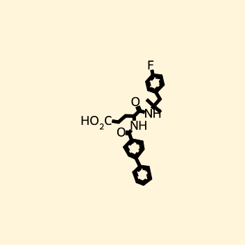 CC(C)(Cc1ccc(F)cc1)NC(=O)C(CCC(=O)O)NC(=O)c1ccc(-c2ccccc2)cc1